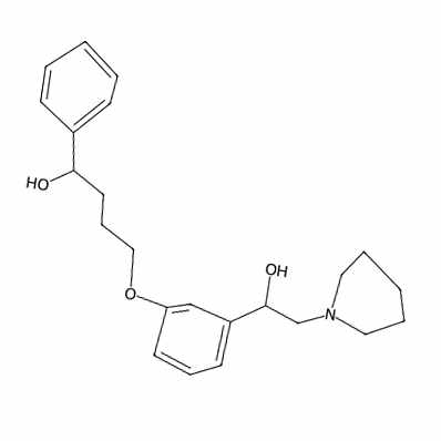 OC(CCCOc1cccc(C(O)CN2CCCCC2)c1)c1ccccc1